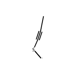 [CH2]SC#CC